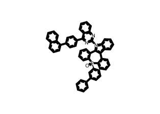 O=[P@@]1(c2cccc(-c3ccccc3)c2)c2ccccc2-c2c(n(-c3nc(-c4ccc(-c5cccc6ccccc56)cc4)c4ccccc4n3)c3ccccc23)-c2ccccc21